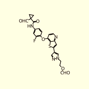 O=COCCn1cc(-c2cc3nccc(Oc4ccc(NC(=O)C5(C=O)CC5)cc4F)c3s2)cn1